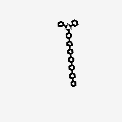 c1ccc(-c2ccc(-c3ccc(-c4ccc(-c5ccc(-c6ccc(-c7ccc(-c8nc(-c9ccccc9)nc(-c9ccccc9)n8)cc7)cc6)cc5)cc4)cc3)cc2)cc1